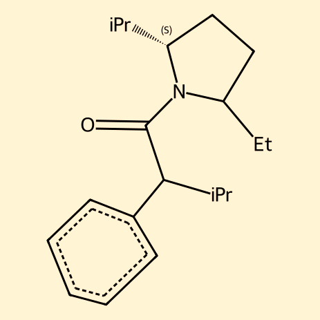 CCC1CC[C@@H](C(C)C)N1C(=O)C(c1ccccc1)C(C)C